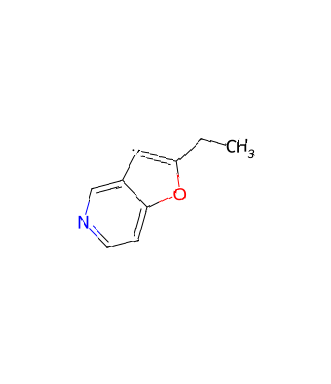 CCc1[c]c2cnccc2o1